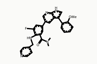 COc1ccccc1-c1c[nH]c2ncc(-c3cc(F)c(NCc4ccncc4)c(C(=O)N(C)C)c3)cc12